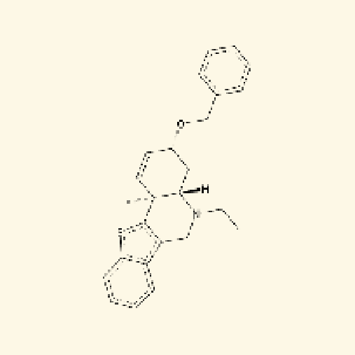 CCN1Cc2c(sc3ccccc23)[C@@]2(C)C=C[C@H](OCc3ccccc3)C[C@H]12